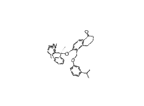 CC(C)c1cccc(OCc2c(O[C@@](C)(c3ccccc3)c3ncc[nH]3)ccc3c2CCCC3=O)c1